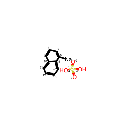 O=S(=O)(O)O.[Na][c]1cccc2ccccc12